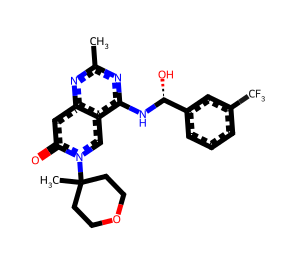 Cc1nc(N[C@H](O)c2cccc(C(F)(F)F)c2)c2cn(C3(C)CCOCC3)c(=O)cc2n1